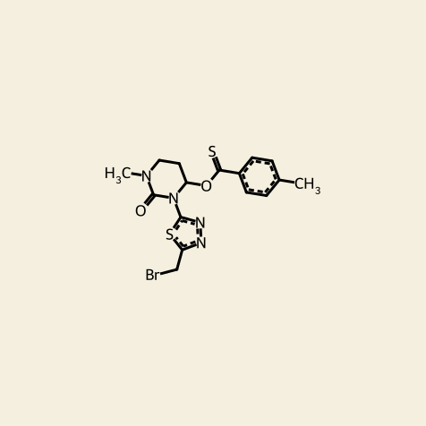 Cc1ccc(C(=S)OC2CCN(C)C(=O)N2c2nnc(CBr)s2)cc1